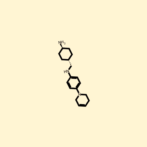 N[C@H]1CC[C@H](CNc2ccc(N3CC=CCC3)cc2)CC1